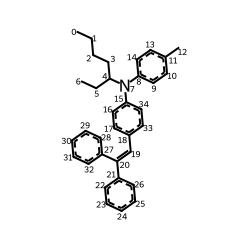 CCCCC(CC)N(c1ccc(C)cc1)c1ccc(C=C(c2ccccc2)c2ccccc2)cc1